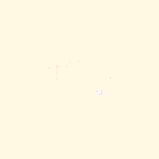 N[C@H](CCCCP(=O)(O)O)C(=O)O.O